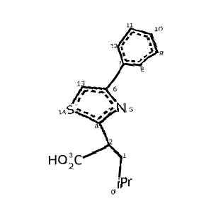 CC(C)CC(C(=O)O)c1nc(-c2ccccc2)cs1